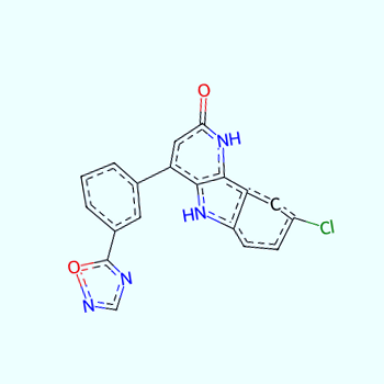 O=c1cc(-c2cccc(-c3ncno3)c2)c2[nH]c3ccc(Cl)cc3c2[nH]1